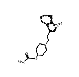 CNC(=O)NC1CCN(CCc2c[nH]c3ccccc23)CC1